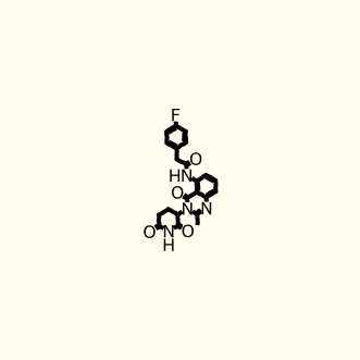 Cc1nc2cccc(NC(=O)Cc3ccc(F)cc3)c2c(=O)n1C1CCC(=O)NC1=O